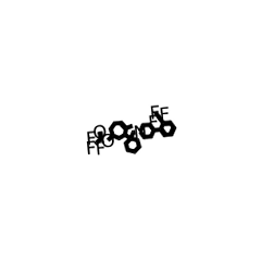 CC1=CCCC(OC(=O)C(F)(F)F)CC1C1(CN2CCC(c3ccccc3C(F)(F)F)CC2)CCCCC1